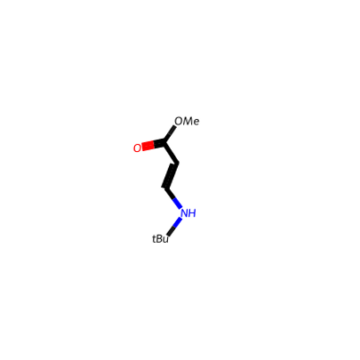 COC(=O)/C=C/NC(C)(C)C